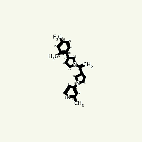 C=C(C1CCN(c2ccnc(C)c2)C1)N1CCC(c2ccc(C(F)(F)F)cc2C)C1